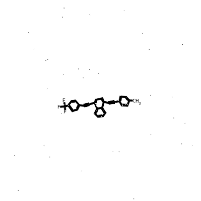 Cc1ccc(C#Cc2ccc(C#Cc3ccc(C(F)(F)F)cc3)c3ccccc23)cc1